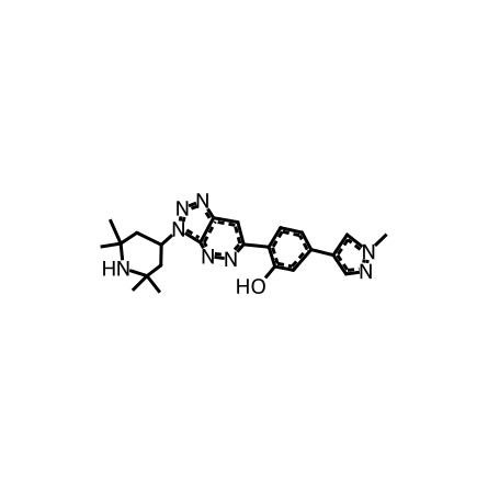 Cn1cc(-c2ccc(-c3cc4nnn(C5CC(C)(C)NC(C)(C)C5)c4nn3)c(O)c2)cn1